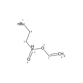 C=CO[PH](=O)CCCCCC